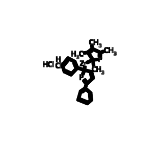 CC1=P[C](C)([Zr][C]2(c3ccccc3)C=CC(c3ccccc3)=P2)C(C)=C1C.Cl.Cl